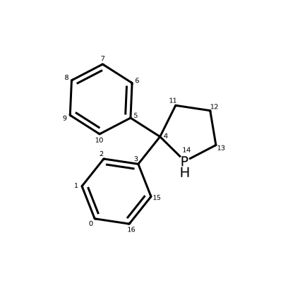 c1ccc(C2(c3ccccc3)CCCP2)cc1